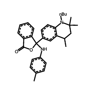 CCCCN1c2ccc(C3(Nc4ccc(C)cc4)OC(=O)c4ccccc43)cc2C(C)CC1(C)C